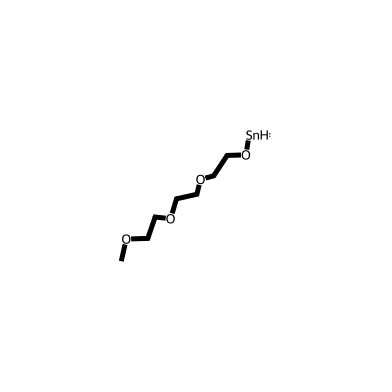 COCCOCCOCC[O][SnH]